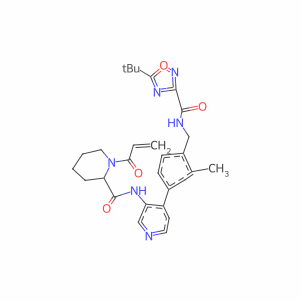 C=CC(=O)N1CCCCC1C(=O)Nc1cnccc1-c1ccc(CNC(=O)c2noc(C(C)(C)C)n2)c(C)c1